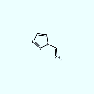 C=Cn1ccnn1